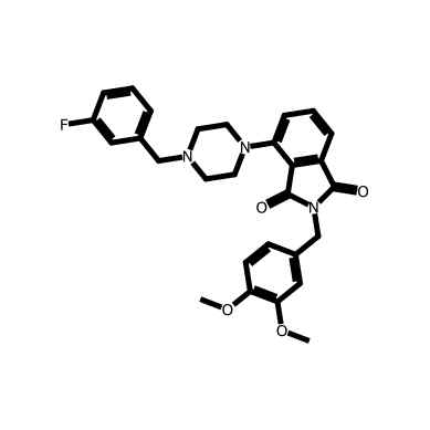 COc1ccc(CN2C(=O)c3cccc(N4CCN(Cc5cccc(F)c5)CC4)c3C2=O)cc1OC